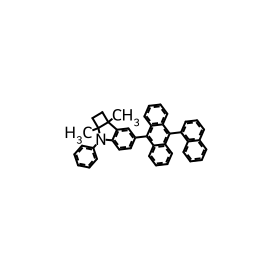 CC12CCC1(C)N(c1ccccc1)c1ccc(-c3c4ccccc4c(-c4cccc5ccccc45)c4ccccc34)cc12